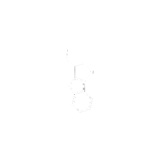 CSC1SNn2c1nc1ccccc12